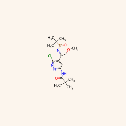 COC/C(=N\[S@+]([O-])C(C)(C)C)c1cc(NC(=O)C(C)(C)C)nnc1Cl